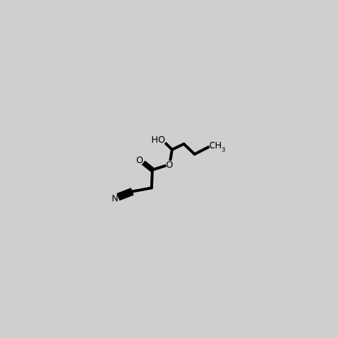 CCCC(O)OC(=O)CC#N